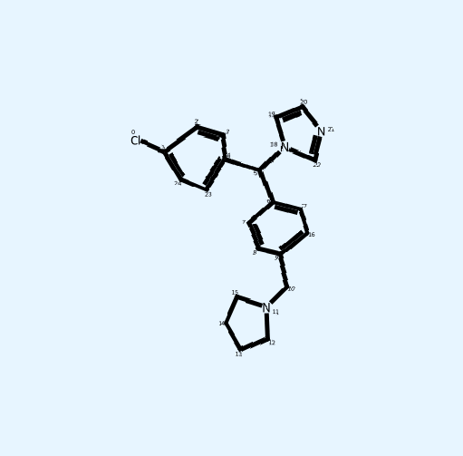 Clc1ccc(C(c2ccc(CN3CCCC3)cc2)n2ccnc2)cc1